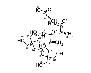 C=CC(=O)O.C=CC(=O)O.C=CC(=O)O.OCC(CO)(CO)COCC(CO)(CO)CO